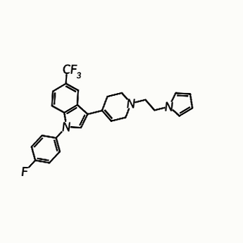 Fc1ccc(-n2cc(C3=CCN(CCn4cccc4)CC3)c3cc(C(F)(F)F)ccc32)cc1